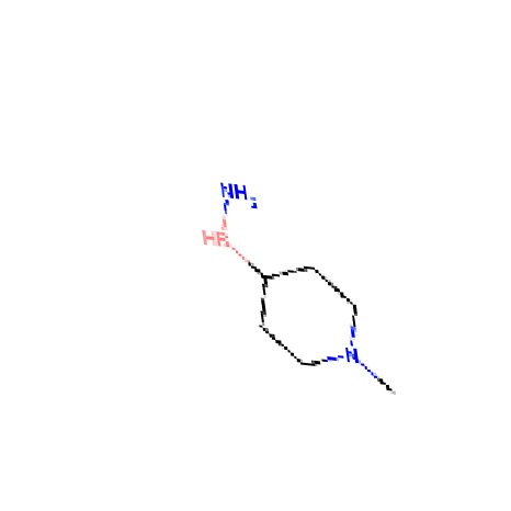 CN1CCC(BN)CC1